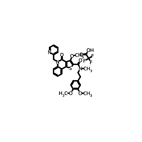 COc1ccc(CCN(C)C(=O)c2sc3c(c2OC)c(=O)n(Cc2ccccn2)c2ccccc32)cc1OC.O=C(O)C(F)(F)F